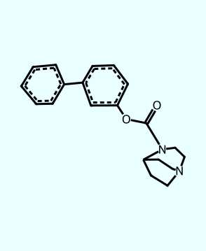 O=C(Oc1cccc(-c2ccccc2)c1)N1CCN2CCC1CC2